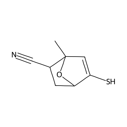 CC12C=C(S)C(CC1C#N)O2